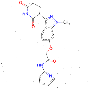 Cn1nc(C2CCC(=O)NC2=O)c2ccc(OCC(=O)Nc3ccccn3)cc21